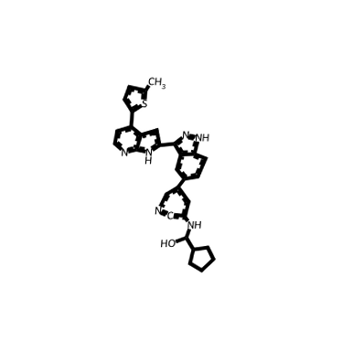 Cc1ccc(-c2ccnc3[nH]c(-c4n[nH]c5ccc(-c6cncc(NC(O)C7CCCC7)c6)cc45)cc23)s1